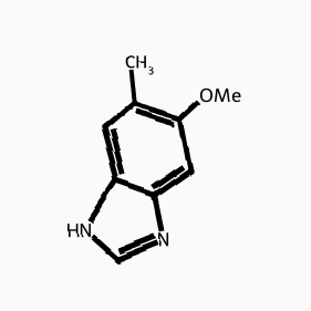 COc1cc2nc[nH]c2cc1C